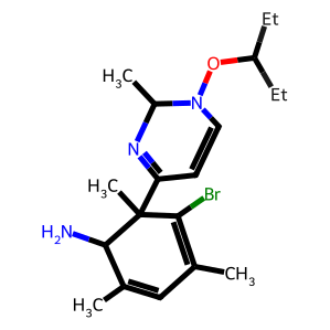 CCC(CC)ON1C=CC(C2(C)C(Br)=C(C)C=C(C)C2N)=NC1C